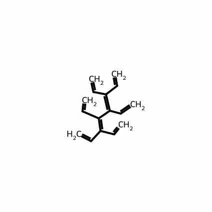 C=CC(C=C)=C(C=C)C(C=C)=C(C=C)C=C